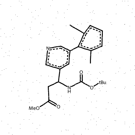 COC(=O)CC(NC(=O)OC(C)(C)C)c1cncc(-c2c(C)cccc2C)c1